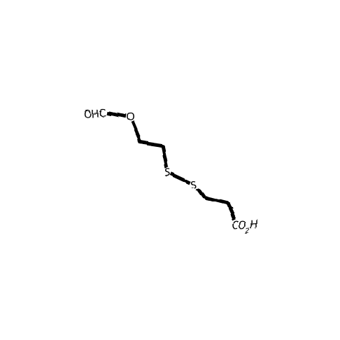 O=COCCSSCCC(=O)O